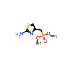 CC(C)OP(=O)(Cc1csc(N)n1)OC(C)C